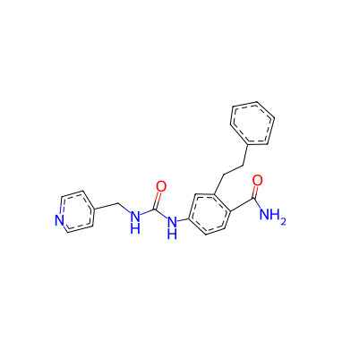 NC(=O)c1ccc(NC(=O)NCc2ccncc2)cc1CCc1ccccc1